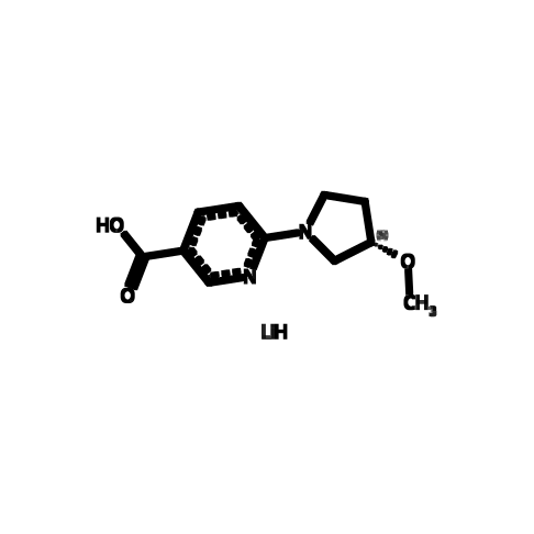 CO[C@H]1CCN(c2ccc(C(=O)O)cn2)C1.[LiH]